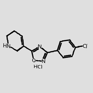 Cl.Clc1ccc(-c2noc(C3=CCCNC3)n2)cc1